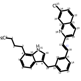 N#CCCCc1cccc2c(Cc3cccc(/C=C/c4ccc5ccc(Cl)cc5n4)c3)c[nH]c12